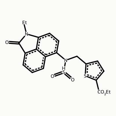 CCOC(=O)c1ccc(CN(c2ccc3c4c(cccc24)C(=O)N3CC)[SH](=O)=O)s1